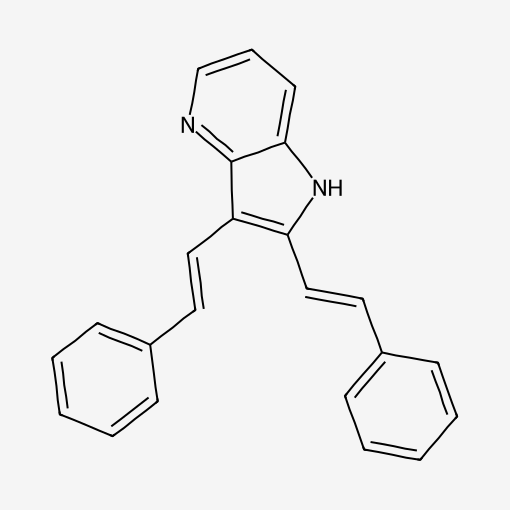 C(=C\c1[nH]c2cccnc2c1/C=C/c1ccccc1)/c1ccccc1